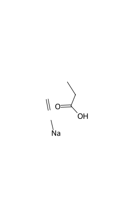 C=C.CCC(=O)O.[CH3][Na]